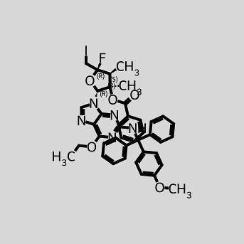 CCOc1nc(NC(c2ccccc2)(c2ccccc2)c2ccc(OC)cc2)nc2c1ncn2[C@@H]1O[C@](F)(CI)[C@@H](C)[C@@]1(C)OC(=O)c1ccccc1